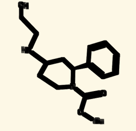 CC(C)(C)OC(=O)N1CCC(NCCO)C[C@H]1c1ccccc1